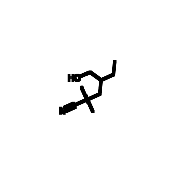 CCC(CO)CC(C)(C)C#N